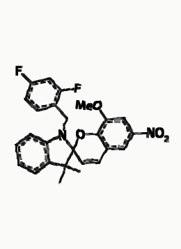 COc1cc([N+](=O)[O-])cc2c1OC1(C=C2)N(Cc2ccc(F)cc2F)c2ccccc2C1(C)C